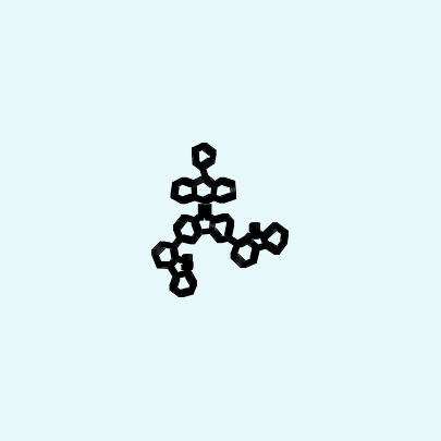 c1ccc(-c2c3ccccc3c(-n3c4ccc(-c5cccc6c5sc5ccccc56)cc4c4cc(-c5cccc6c5sc5ccccc56)ccc43)c3ccccc23)cc1